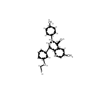 Cc1cnc2c(-c3cccc(OCF)c3)nn(-c3ccc(C(F)(F)F)cc3)c(=O)c2c1